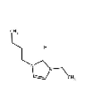 CCCCN1C=CN(CC)C1.I